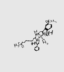 COc1ccc2[nH]c(C)c(CC(=O)NC(CCCCCC(C)=O)c3ncc(-c4ccccc4)[nH]3)c2c1